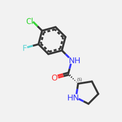 O=C(Nc1ccc(Cl)c(F)c1)[C@@H]1CCCN1